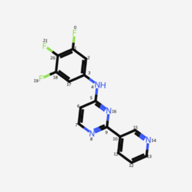 Fc1cc(Nc2ccnc(-c3cccnc3)n2)cc(F)c1F